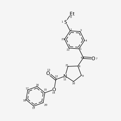 CCSc1ccc(C(=O)C2CCN(C(=O)Oc3ccccc3)C2)cc1